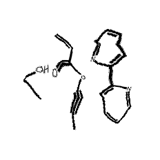 C=CC(=O)OC#CC.CCO.c1ccc(-c2ccccn2)nc1